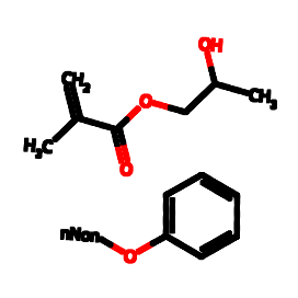 C=C(C)C(=O)OCC(C)O.CCCCCCCCCOc1ccccc1